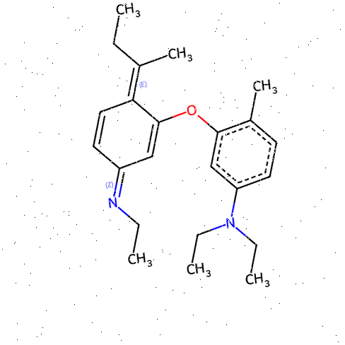 CC/N=C1C=C/C(=C(/C)CC)C(Oc2cc(N(CC)CC)ccc2C)=C/1